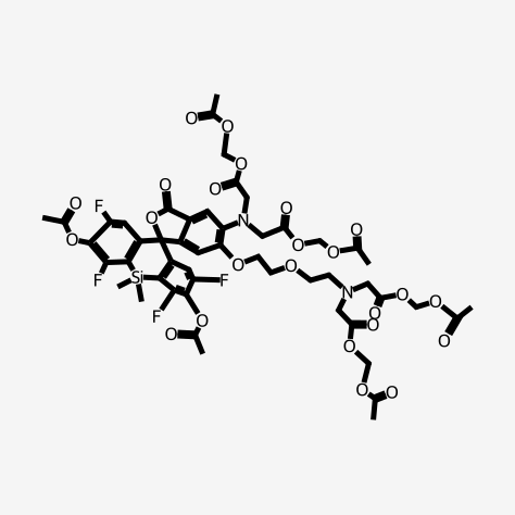 CC(=O)OCOC(=O)CN(CCOCCOc1cc2c(cc1N(CC(=O)OCOC(C)=O)CC(=O)OCOC(C)=O)C(=O)OC21c2cc(F)c(OC(C)=O)c(F)c2[Si](C)(C)c2c1cc(F)c(OC(C)=O)c2F)CC(=O)OCOC(C)=O